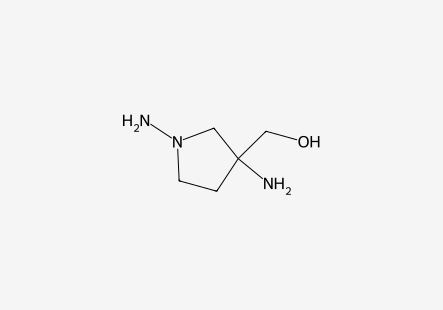 NN1CCC(N)(CO)C1